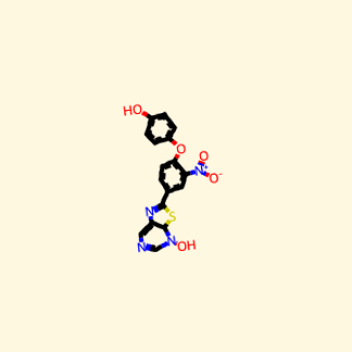 O=[N+]([O-])c1cc(C2=NC3=CN=CN(O)C3S2)ccc1Oc1ccc(O)cc1